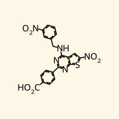 O=C(O)c1ccc(-c2nc(NCc3cccc([N+](=O)[O-])c3)c3cc([N+](=O)[O-])sc3n2)cc1